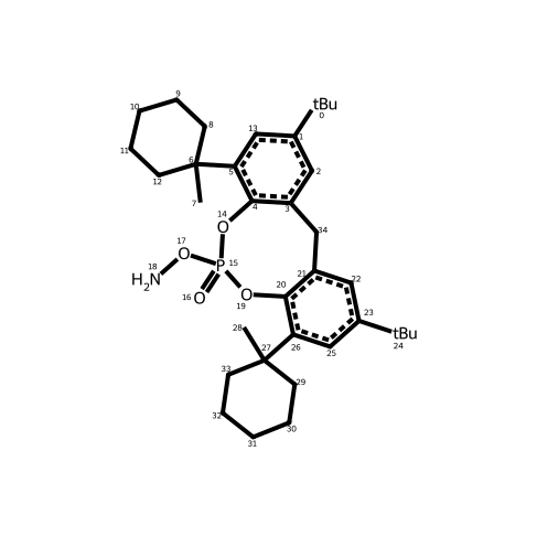 CC(C)(C)c1cc2c(c(C3(C)CCCCC3)c1)OP(=O)(ON)Oc1c(cc(C(C)(C)C)cc1C1(C)CCCCC1)C2